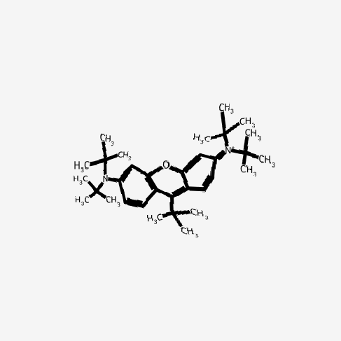 CC(C)(C)c1c2ccc(=[N+](C(C)(C)C)C(C)(C)C)cc-2oc2cc(N(C(C)(C)C)C(C)(C)C)ccc12